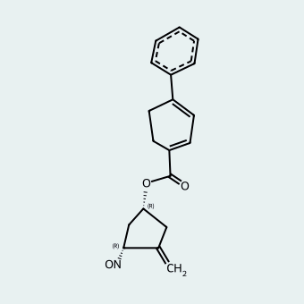 C=C1C[C@@H](OC(=O)C2=CC=C(c3ccccc3)CC2)C[C@H]1N=O